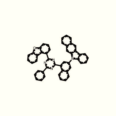 c1ccc(-c2nc(-c3cc(-n4c5ccccc5c5cc6ccccc6cc54)cc4ccccc34)nc(-c3cccc4oc5ccccc5c34)n2)cc1